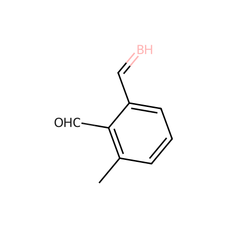 B=Cc1cccc(C)c1C=O